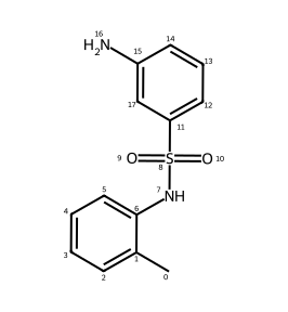 Cc1ccccc1NS(=O)(=O)c1cccc(N)c1